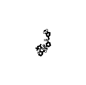 CC1CN(c2ncccc2C(=O)NS(=O)(=O)c2cccc(NCc3ccc4c(c3)OCO4)c2)C(C)(C)C1